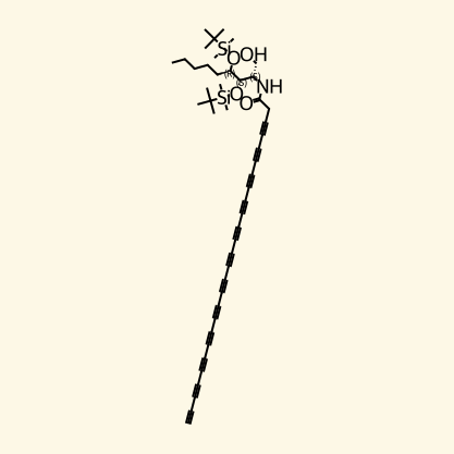 C#CC#CC#CC#CC#CC#CC#CC#CC#CC#CC#CC#CCC(=O)N[C@@H](CO)[C@H](O[Si](C)(C)C(C)(C)C)[C@@H](CCCCC)O[Si](C)(C)C(C)(C)C